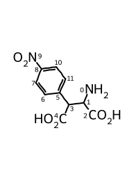 NC(C(=O)O)C(C(=O)O)c1ccc([N+](=O)[O-])cc1